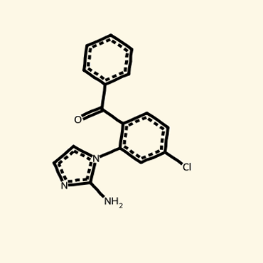 Nc1nccn1-c1cc(Cl)ccc1C(=O)c1ccccc1